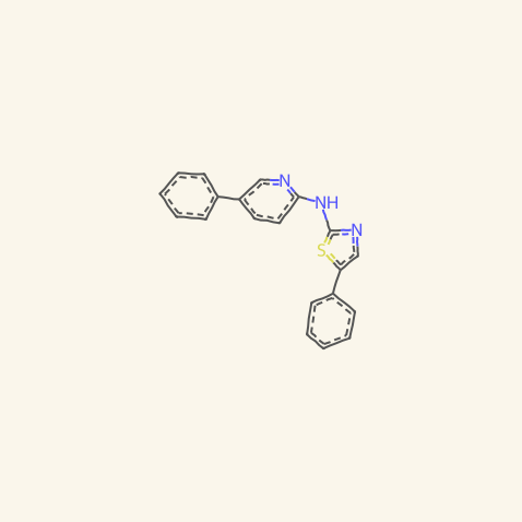 c1ccc(-c2ccc(Nc3ncc(-c4ccccc4)s3)nc2)cc1